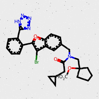 O=C(O)OC1(CN(Cc2ccc3oc(-c4ccccc4-c4nnn[nH]4)c(Br)c3c2)C(=O)CC2CC2)CCCC1